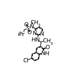 CC(C)CS(=O)(=O)N(C)c1ccnc(NC(C)c2cc3cc(Cl)ccc3[nH]c2=O)n1